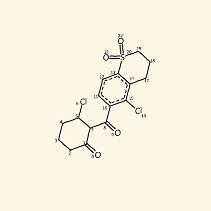 O=C1CCCC(Cl)C1C(=O)c1ccc2c(c1Cl)CCCS2(=O)=O